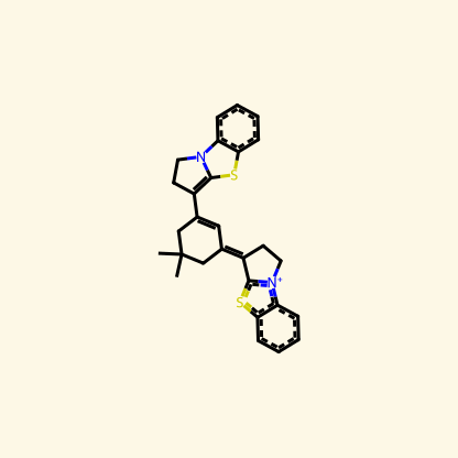 CC1(C)CC(C2=C3Sc4ccccc4N3CC2)=C/C(=C2\CC[n+]3c2sc2ccccc23)C1